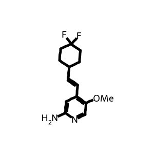 COc1cnc(N)cc1C=CC1CCC(F)(F)CC1